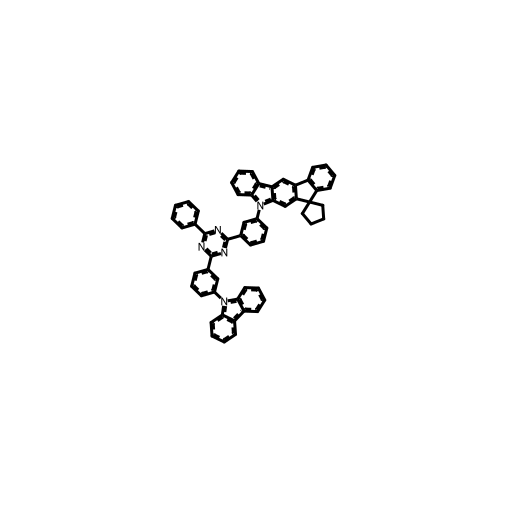 c1ccc(-c2nc(-c3cccc(-n4c5ccccc5c5ccccc54)c3)nc(-c3cccc(-n4c5ccccc5c5cc6c(cc54)C4(CCCC4)c4ccccc4-6)c3)n2)cc1